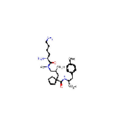 COc1ccc(C[C@H](NC(=O)C2(C[C@@H](CN(C(C)=O)C(=O)[C@@H](N)CCCCN)C(=O)O)CCCC2)C(=O)O)cc1